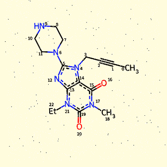 CC#CCn1c(N2CCNCC2)nc2c1c(=O)n(C)c(=O)n2CC